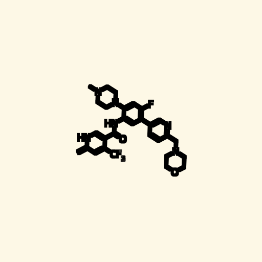 C=C1C=C(C(F)(F)F)C(C(=O)Nc2cc(-c3ccc(CN4CCOCC4)nc3)c(F)cc2N2CCN(C)CC2)=CN1